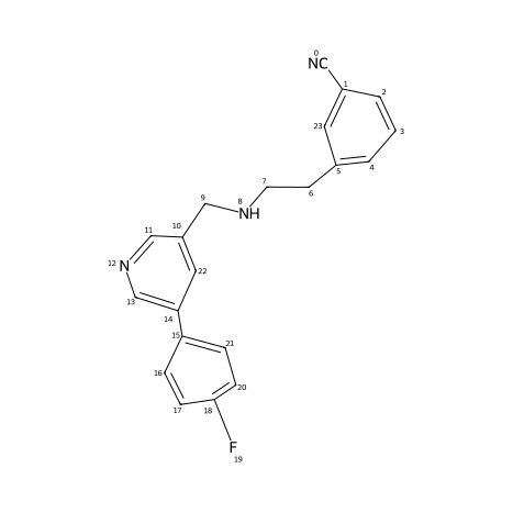 N#Cc1cccc(CCNCc2cncc(-c3ccc(F)cc3)c2)c1